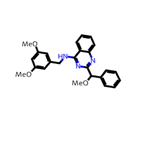 COc1cc(CNc2nc(C(OC)c3ccccc3)nc3ccccc23)cc(OC)c1